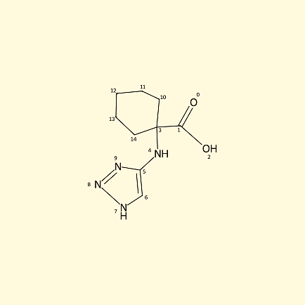 O=C(O)C1(Nc2c[nH]nn2)CCCCC1